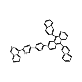 c1ccc2cc(-c3c4ccccc4c(-c4ccc5ccccc5c4)c4cc(-c5ccc(-c6ccc(-c7cncc8ccccc78)nc6)cc5)ccc34)ccc2c1